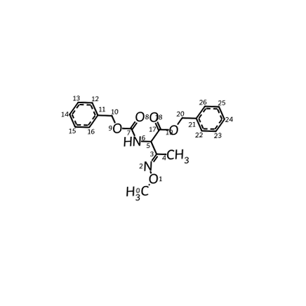 CON=C(C)C(NC(=O)OCc1ccccc1)C(=O)OCc1ccccc1